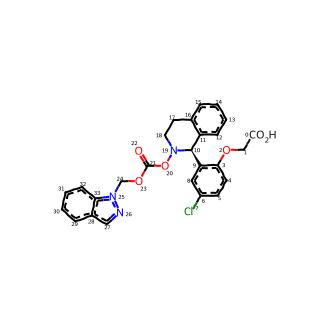 O=C(O)COc1ccc(Cl)cc1[C@@H]1c2ccccc2CCN1OC(=O)OCn1ncc2ccccc21